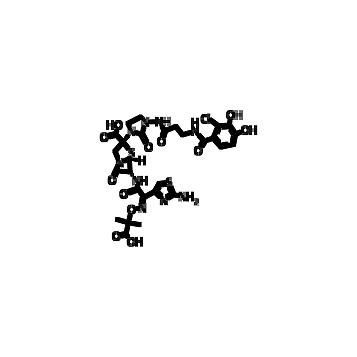 CC(C)(O/N=C(\C(=O)N[C@@H]1C(=O)N2C[C@@](C(=O)O)(N3CCN(NC(=O)CCNC(=O)c4ccc(O)c(O)c4Cl)C3=O)S[C@H]12)c1csc(N)n1)C(=O)O